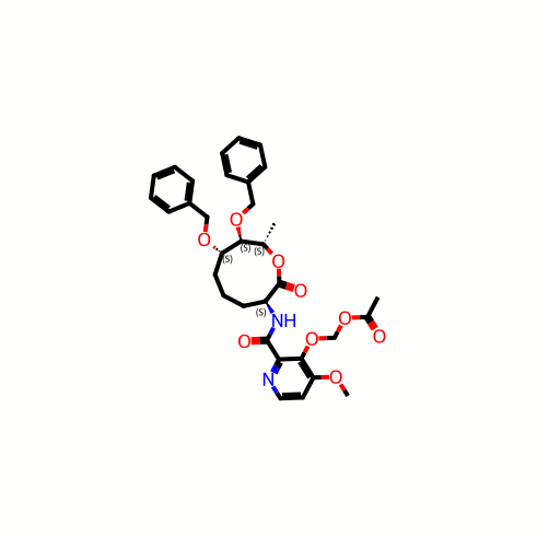 COc1ccnc(C(=O)N[C@H]2CCC[C@H](OCc3ccccc3)[C@@H](OCc3ccccc3)[C@H](C)OC2=O)c1OCOC(C)=O